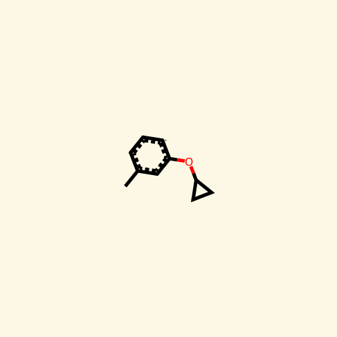 Cc1cc[c]c(OC2CC2)c1